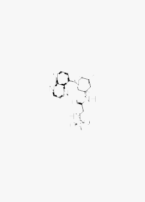 C[C@H]1C[C@@H](NC(=O)CNS(C)(=O)=O)CN(c2ccnc3nccnc23)C1